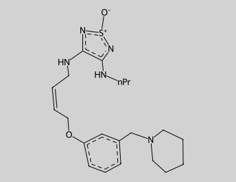 CCCNc1n[s+]([O-])nc1NC/C=C\COc1cccc(CN2CCCCC2)c1